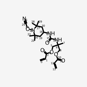 C=CC(=O)OCC(C)(COC(=O)C=C)NC(=O)NC1CC(C)(C)N(OC#N)C(C)(C)C1